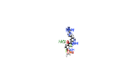 CCCS(=O)(=O)Nc1c(F)ccc(C(=O)c2n[nH]c3ncc(-c4cnc(-c5nnn[nH]5)nc4)cc23)c1F.Cl